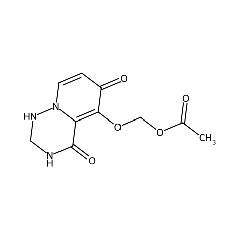 CC(=O)OCOc1c2n(ccc1=O)NCNC2=O